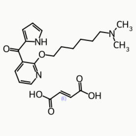 CN(C)CCCCCCOc1ncccc1C(=O)c1ccc[nH]1.O=C(O)/C=C/C(=O)O